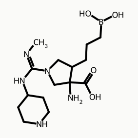 C/N=C(/NC1CCNCC1)N1CC(CCCB(O)O)C(N)(C(=O)O)C1